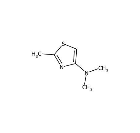 Cc1nc(N(C)C)cs1